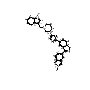 Cn1cc2cc(C3=NCc4ccc(-c5nnc([C@@H]6CCCN(Cc7cn(C)c8ccccc78)C6)o5)cc43)ccc2n1